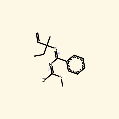 C=CC(C)(CC)/N=C(\N=C(\Cl)NC)c1ccccc1